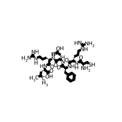 CC(C)C[C@H](NC(=O)[C@H](CCCNC(=N)N)NC(=O)[C@H](CC(=O)O)NC(=O)[C@H](Cc1ccccc1)NC(=O)[C@H](CCCNC(=N)N)NC(=O)[C@@H](N)CS)C(=O)O